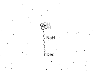 CCCCCCCCCCCCCCCCCCCCCCOP(=O)(O)O.[NaH]